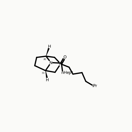 CCCCCCCC(=O)N1[C@@H]2CC[C@H]1CN(CCCCC(C)C)C2